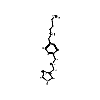 NCCCNCc1ccc(CNCC2CSCN2)cc1